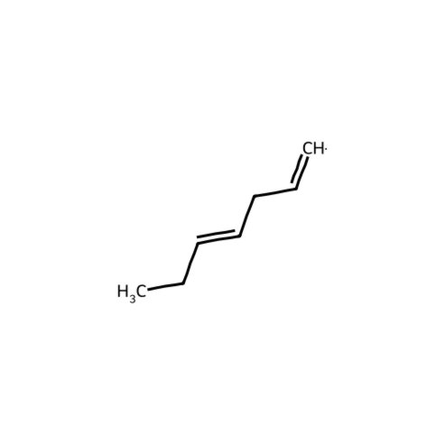 [CH]=CCC=CCC